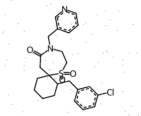 O=C1CC2(CCCCC2Cc2cccc(Cl)c2)S(=O)(=O)CCN1Cc1cccnc1